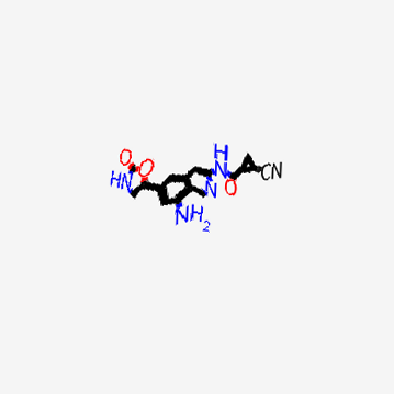 N#CC1CC1C(=O)Nc1cc2cc(C3CNC(=O)O3)cc(N)c2cn1